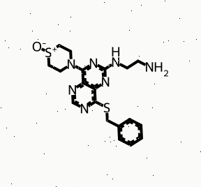 NCCNc1nc(N2CC[S+]([O-])CC2)c2ncnc(SCc3ccccc3)c2n1